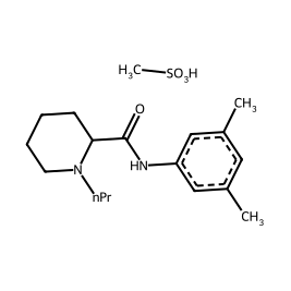 CCCN1CCCCC1C(=O)Nc1cc(C)cc(C)c1.CS(=O)(=O)O